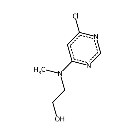 CN(CCO)c1cc(Cl)ncn1